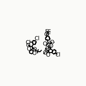 CCC(C)(C)C(=O)OC1=C(c2ccc(Cl)cc2Cl)C(=O)OC12CCCCC2.COC(=O)N(C(=O)N1CO[C@@]2(C(=O)OC)Cc3cc(Cl)ccc3C2=N1)c1ccc(OC(F)(F)F)cc1